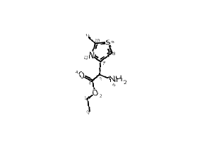 CCOC(=O)C(N)c1csc(C)n1